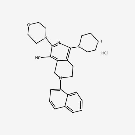 Cl.N#Cc1c(N2CCOCC2)nc(N2CCNCC2)c2c1CN(c1cccc3ccccc13)CC2